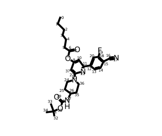 CCCCCCC(=O)Oc1cc(-c2ccc(C#N)c(F)c2)nc(N2CCC(NC(=O)OC(C)(C)C)CC2)c1